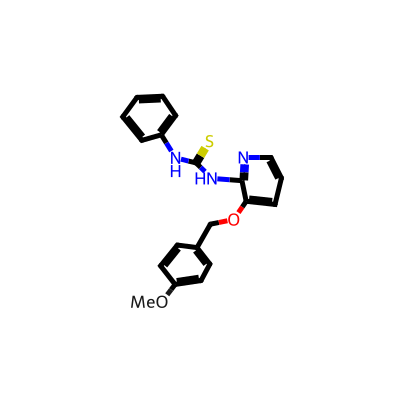 COc1ccc(COc2cccnc2NC(=S)Nc2ccccc2)cc1